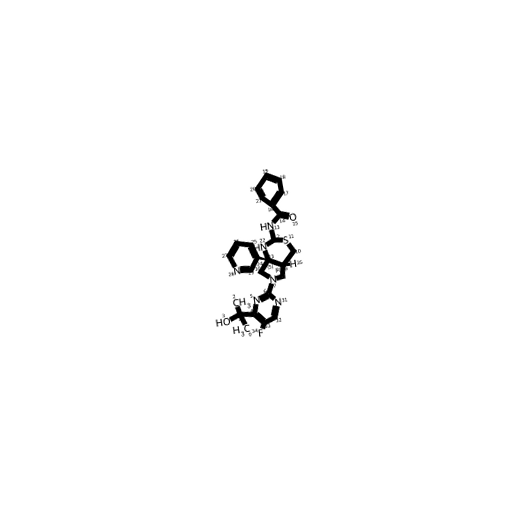 CC(C)(O)c1nc(N2C[C@H]3CSC(NC(=O)c4ccccc4)N[C@@]3(c3cccnc3)C2)ncc1F